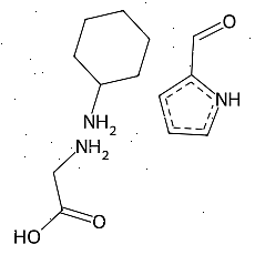 NC1CCCCC1.NCC(=O)O.O=Cc1ccc[nH]1